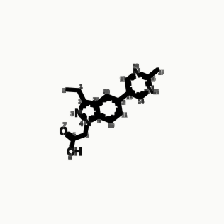 CCc1nn(CC(=O)O)c2ccc(-c3cnc(C)nc3)cc12